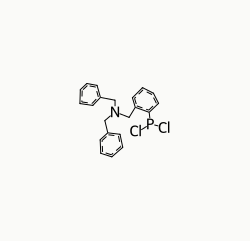 ClP(Cl)c1ccccc1CN(Cc1ccccc1)Cc1ccccc1